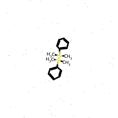 CS(C)(c1ccccc1)S(C)(C)c1ccccc1